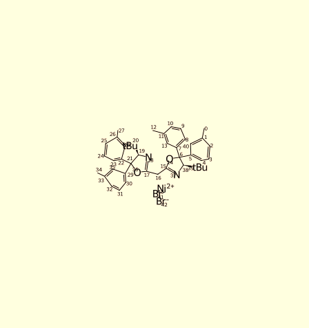 Cc1cccc(C2(c3cccc(C)c3)OC(CC3=N[C@H](C(C)(C)C)C(c4cccc(C)c4)(c4cccc(C)c4)O3)=N[C@@H]2C(C)(C)C)c1.[Br-].[Br-].[Ni+2]